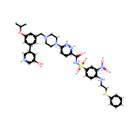 CC(C)Oc1cc(CN2CCN(c3ccc(C(=O)NS(=O)(=O)c4ccc(NCCSc5ccccc5)c([N+](=O)[O-])c4)nn3)CC2)cc(-c2cncc(O)c2)c1